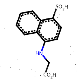 O=C(O)CNc1ccc(S(=O)(=O)O)c2ccccc12